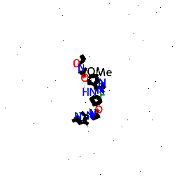 C=CC(=O)N1CC(Oc2cc3c(Nc4ccc(Oc5ccn(-c6cnc(C)cc6C)n5)cc4F)ncnc3cc2OC)C1